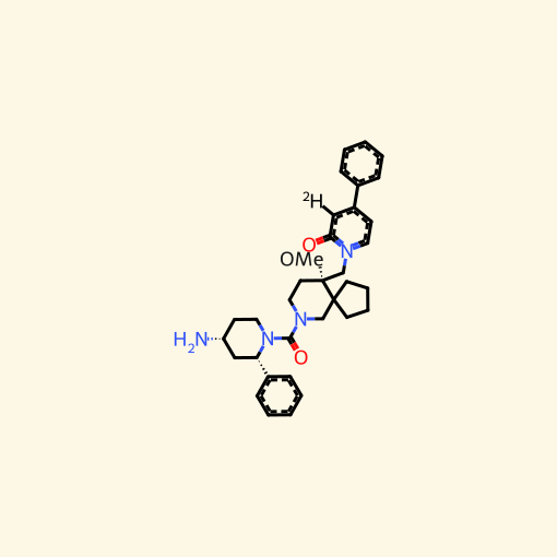 [2H]c1c(-c2ccccc2)ccn(C[C@]2(OC)CCN(C(=O)N3CC[C@@H](N)C[C@H]3c3ccccc3)CC23CCCC3)c1=O